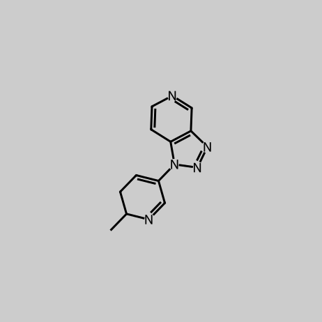 CC1CC=C(n2nnc3cnccc32)C=N1